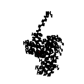 CC[C@H](C)[C@@H]([C@@H](CC(=O)N1CCC[C@H]1[C@H](OC)[C@@H](C)C(=O)N[C@H](C)[C@@H](O)c1ccccc1)OC)N(C)C(=O)[C@@H](NC(=O)[C@H](C(C)C)N(C)C(=O)OCc1cc(NC(=O)CCCCCCCON)ccc1OC1OC(C(=O)O)C(O)C(O)C1O)C(C)C